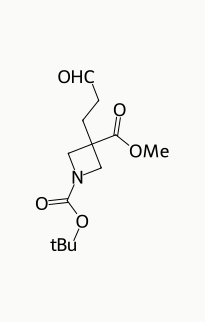 COC(=O)C1(CCC=O)CN(C(=O)OC(C)(C)C)C1